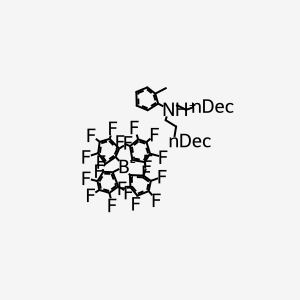 CCCCCCCCCCCC[NH+](CCCCCCCCCCCC)c1ccccc1C.Fc1c(F)c(F)c([B-](c2c(F)c(F)c(F)c(F)c2F)(c2c(F)c(F)c(F)c(F)c2F)c2c(F)c(F)c(F)c(F)c2F)c(F)c1F